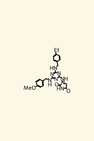 CCc1ccc(CNc2nc(NCc3ccc(OC)cc3)nc(NN3CC(=O)NC3=O)n2)cc1